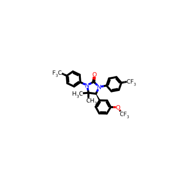 CC1(C)[C@H](c2cccc(OC(F)(F)F)c2)N(c2ccc(C(F)(F)F)cc2)C(=O)N1c1ccc(C(F)(F)F)cc1